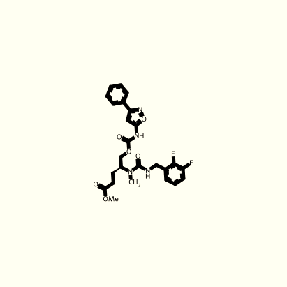 COC(=O)CC[C@@H](COC(=O)Nc1cc(-c2ccccc2)no1)N(C)C(=O)NCc1cccc(F)c1F